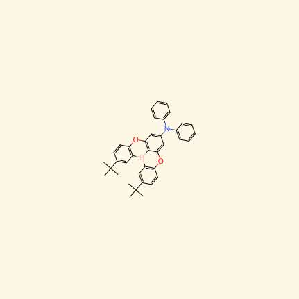 CC(C)(C)c1ccc2c(c1)B1c3cc(C(C)(C)C)ccc3Oc3cc(N(c4ccccc4)c4ccccc4)cc(c31)O2